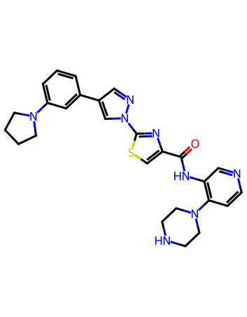 O=C(Nc1cnccc1N1CCNCC1)c1csc(-n2cc(-c3cccc(N4CCCC4)c3)cn2)n1